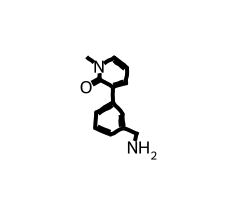 Cn1cccc(-c2cccc(CN)c2)c1=O